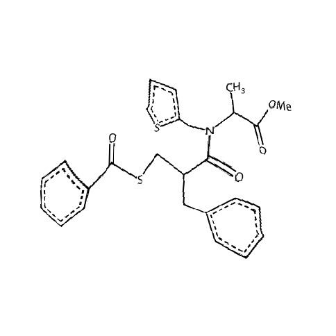 COC(=O)C(C)N(C(=O)C(CSC(=O)c1ccccc1)Cc1ccccc1)c1cccs1